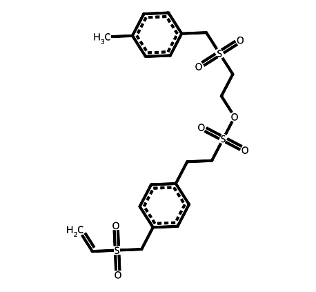 C=CS(=O)(=O)Cc1ccc(CCS(=O)(=O)OCCS(=O)(=O)Cc2ccc(C)cc2)cc1